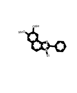 CCn1c(-c2ccccc2)nc2c3cc(OC)c(OC)cc3ccc21